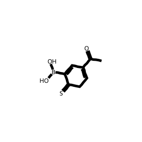 CC(=O)C1=CCC(=S)C(B(O)O)=C1